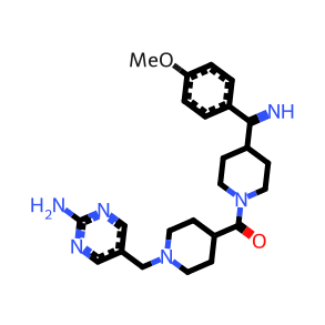 COc1ccc(C(=N)C2CCN(C(=O)C3CCN(Cc4cnc(N)nc4)CC3)CC2)cc1